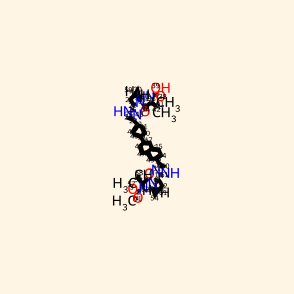 COC(=O)NC(C(=O)N1[C@H](c2nc(-c3ccc4cc(-c5ccc(-c6c[nH]c([C@@H]7C[C@@H]8C[C@@H]8N7C(=O)C(NC(=O)O)C(C)C)n6)cc5)ccc4c3)c[nH]2)C[C@@H]2C[C@@H]21)C(C)C